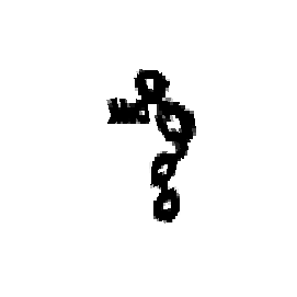 COc1ccccc1N1CCCN(Cc2cccc(-c3ccccc3)c2)CC1